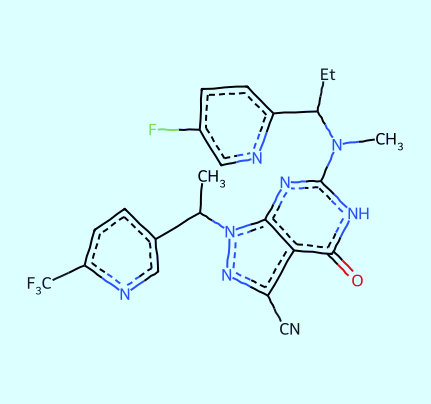 CCC(c1ccc(F)cn1)N(C)c1nc2c(c(C#N)nn2C(C)c2ccc(C(F)(F)F)nc2)c(=O)[nH]1